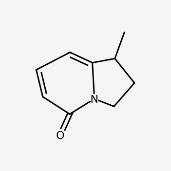 CC1CCn2c1cccc2=O